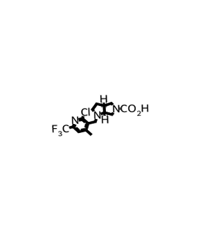 Cc1cc(C(F)(F)F)nc(Cl)c1CN1CC[C@@H]2CN(C(=O)O)C[C@@H]21